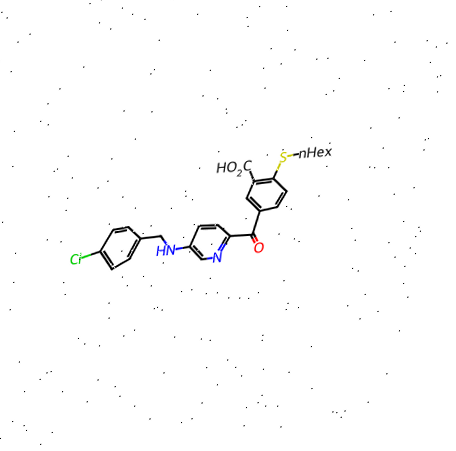 CCCCCCSc1ccc(C(=O)c2ccc(NCc3ccc(Cl)cc3)cn2)cc1C(=O)O